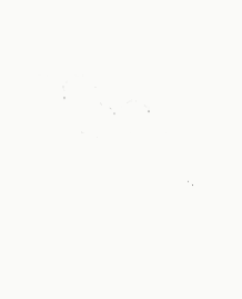 O=c1oc2cc(OCCN3CCOCC3)ccc2c2ccc(O)cc12